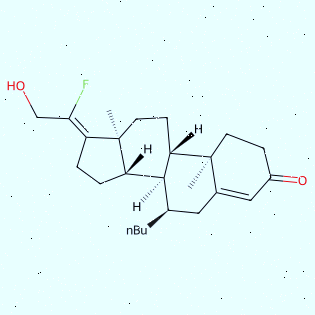 CCCC[C@@H]1CC2=CC(=O)CC[C@]2(C)[C@H]2CC[C@]3(C)C(=C(F)CO)CC[C@H]3[C@H]12